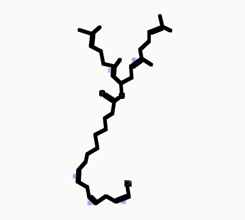 CC/C=C\C/C=C\C/C=C\CCCCCCCC(=O)OC(/C=C(\C)CCC=C(C)C)C/C=C(\C)CCC=C(C)C